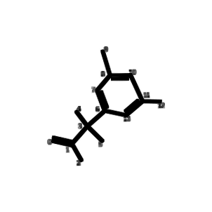 C=C(C)C(C)(C)c1cc(C)cc(C)c1